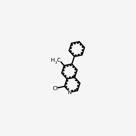 Cc1cc2c(Cl)nccc2cc1-c1ccccc1